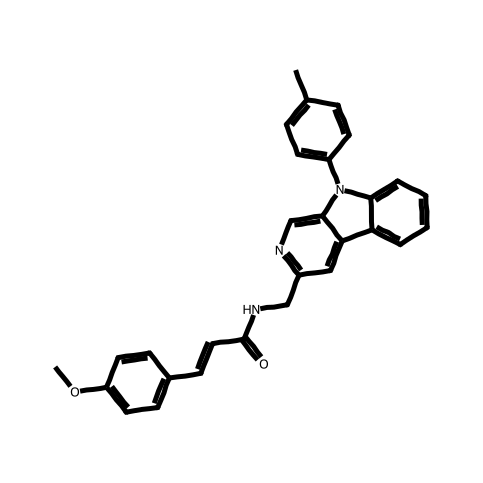 COc1ccc(/C=C/C(=O)NCc2cc3c4ccccc4n(-c4ccc(C)cc4)c3cn2)cc1